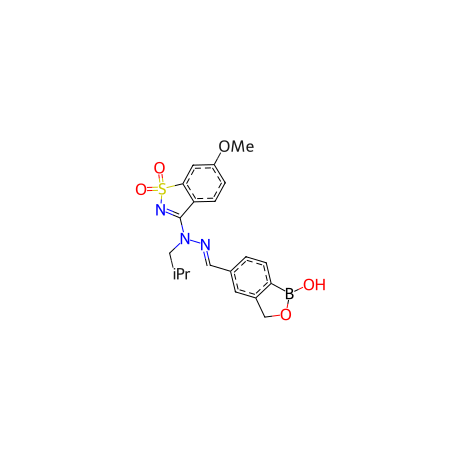 COc1ccc2c(c1)S(=O)(=O)N=C2N(CC(C)C)/N=C/c1ccc2c(c1)COB2O